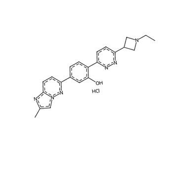 CCN1CC(c2ccc(-c3ccc(-c4ccc5nc(C)cn5n4)cc3O)nn2)C1.Cl